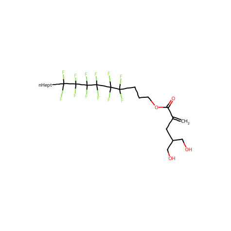 C=C(CC(CO)CO)C(=O)OCCCC(F)(F)C(F)(F)C(F)(F)C(F)(F)C(F)(F)C(F)(F)CCCCCCC